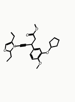 CCC1=COC(CC)N1C#CC(CC(=O)OC)c1ccc(OC)c(OC2CCCC2)c1